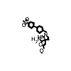 COCC=CC1(C(N)=O)C=CN(Cc2ccc(-c3ccc(S(C)(=O)=O)cc3)cc2)N1